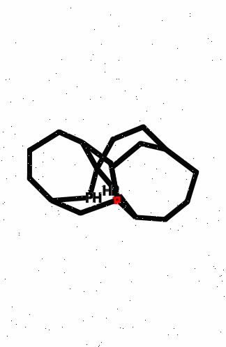 C1CC2CCCC(C1)PC1(CC2)PC2CCCC1CCC2